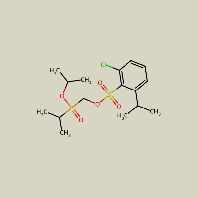 CC(C)OP(=O)(COS(=O)(=O)c1c(Cl)cccc1C(C)C)C(C)C